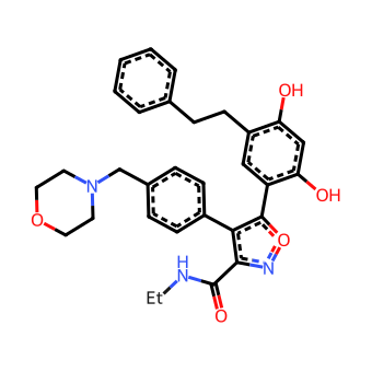 CCNC(=O)c1noc(-c2cc(CCc3ccccc3)c(O)cc2O)c1-c1ccc(CN2CCOCC2)cc1